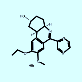 Br.CCOc1cc2c(cc1OC)C(c1cnccn1)=N[C@@H]1CC[C@@H](O)C[C@H]21